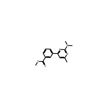 COC(=O)c1cccc(-c2cc(C)nc(N(C)C)n2)c1